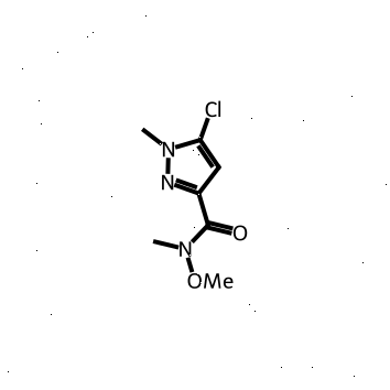 CON(C)C(=O)c1cc(Cl)n(C)n1